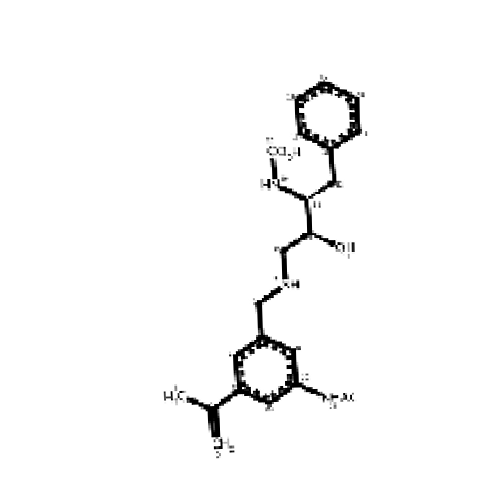 C=C(C)c1cc(CNC[C@H](O)[C@H](Cc2ccccc2)NC(=O)O)cc(NC(C)=O)c1